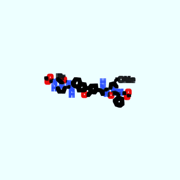 COC[C@H]1C[C@@H](c2ncc(-c3ccc4c(c3)COc3cc5c(cc3-4)CCc3nc([C@@H]4CCCN4C(=O)[C@@H](NC4OCO4)C(C)C)[nH]c3-5)[nH]2)N(C(=O)[C@H](NC2OCO2)c2ccccc2)C1